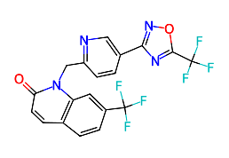 O=c1ccc2ccc(C(F)(F)F)cc2n1Cc1ccc(-c2noc(C(F)(F)F)n2)cn1